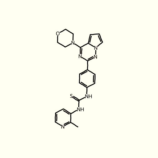 Cc1ncccc1NC(=S)Nc1ccc(-c2nc(N3CCOCC3)c3cccn3n2)cc1